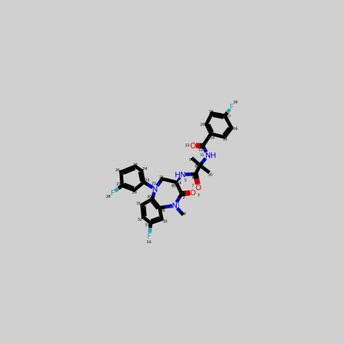 CN1C(=O)[C@H](NC(=O)C(C)(C)NC(=O)c2ccc(F)cc2)CN(c2cccc(F)c2)c2ccc(F)cc21